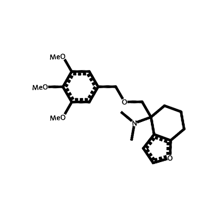 COc1cc(COCC2(N(C)C)CCCc3occc32)cc(OC)c1OC